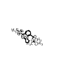 CN(c1cccc(C(=O)OC(C)(C)C)c1N1CCCC1=O)S(C)(=O)=O